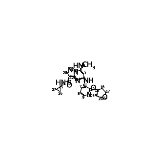 CNc1cc(Nc2cccnc2OC2CCOCC2)nc2c(C(=O)NC3CC3)cnn12